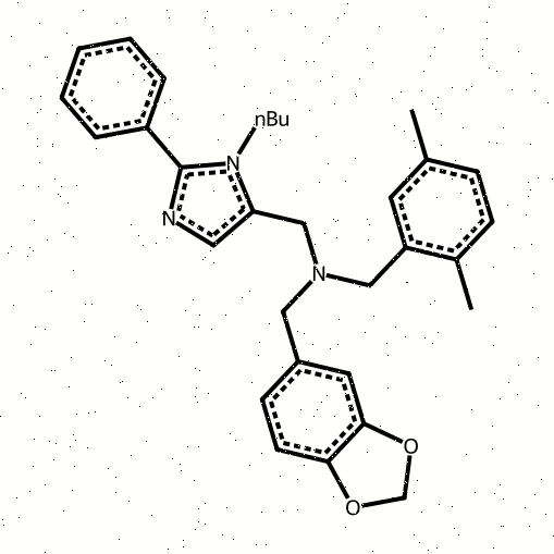 CCCCn1c(CN(Cc2ccc3c(c2)OCO3)Cc2cc(C)ccc2C)cnc1-c1ccccc1